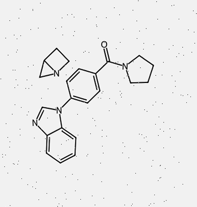 C1CN2CC12.O=C(c1ccc(-n2cnc3ccccc32)cc1)N1CCCC1